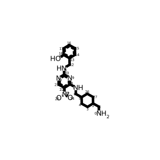 NCC1CCC(CNc2nc(NCc3ccccc3O)ncc2[N+](=O)[O-])CC1